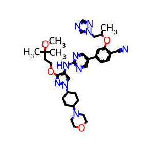 COC(C)(C)CCOc1nn(C2CCC(N3CCOCC3)CC2)cc1Nc1ncc(-c2ccc(C#N)c(OC(C)Cn3cncn3)c2)cn1